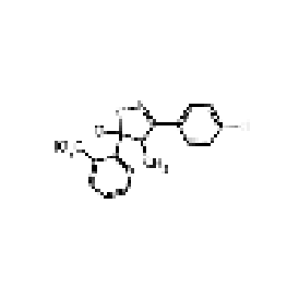 CC1C(c2ccc(Cl)cc2)=NOC1(O)c1ccccc1C(=O)O